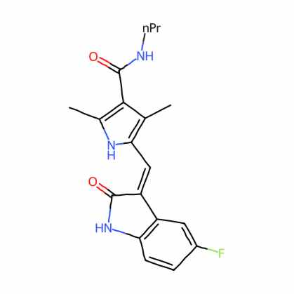 CCCNC(=O)c1c(C)[nH]c(/C=C2\C(=O)Nc3ccc(F)cc32)c1C